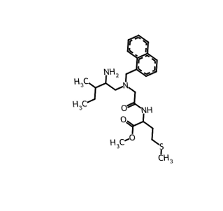 CCC(C)C(N)CN(CC(=O)NC(CCSC)C(=O)OC)Cc1cccc2ccccc12